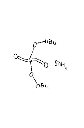 CCCCOS(=O)(=O)OCCCC.[SnH4]